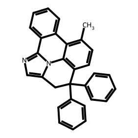 Cc1ccc2c3c1c1ccccc1c1ncc(n13)CC2(c1ccccc1)c1ccccc1